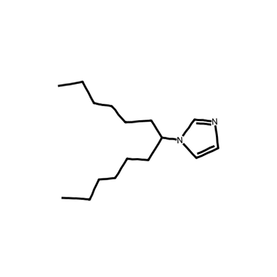 CCCCCCC(CCCCCC)n1ccnc1